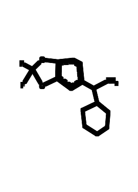 NC(c1ccc2c(c1)OC(F)(F)O2)C1CCCCC1